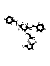 O=C(CC[C@H](NC(=O)OCc1ccccc1)C(=O)OCc1ccccc1)ON1C(=O)CCC1=O